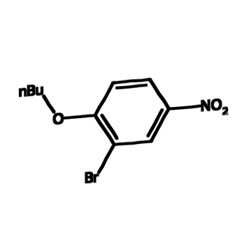 CCCCOc1ccc([N+](=O)[O-])cc1Br